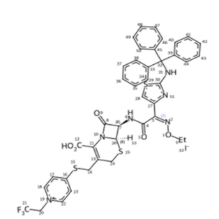 CCO/N=C(\C(=O)N[C@@H]1C(=O)N2C(C(=O)O)=C(CSc3cc[n+](CC(F)(F)F)cc3)CS[C@H]12)c1csc(NC(c2ccccc2)(c2ccccc2)c2ccccc2)n1.[I-]